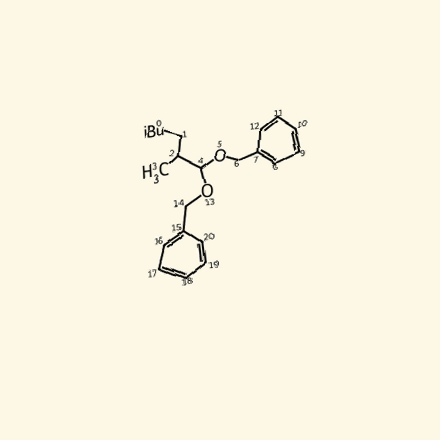 CCC(C)CC(C)C(OCc1ccccc1)OCc1ccccc1